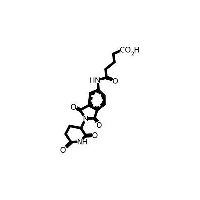 O=C(O)CCCC(=O)Nc1ccc2c(c1)C(=O)N(C1CCC(=O)NC1=O)C2=O